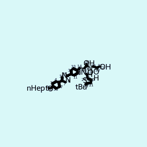 CCCCCCCOc1ccc(-c2cnc(-c3ccc(C[C@H](NC(=O)c4ccc(C(C)(C)C)s4)C(O)NCC(O)CO)cc3)nc2)cc1